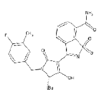 Cc1cc(CN2C(=O)C(C3=NS(=O)(=O)c4c(C(N)=O)cccc43)=C(O)[C@@H]2C(C)(C)C)ccc1F